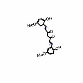 COC1=CC=C(O)C(/C=C/C(=O)CC(=O)/C=C/c2cc(OC)ccc2O)C1